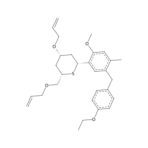 C=CCOC[C@@H]1C[C@H](OCC=C)C[C@H](c2cc(Cc3ccc(OCC)cc3)c(C)cc2OC)S1